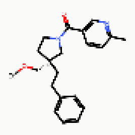 CCOC[C@]1(CCc2ccccc2)CCN(C(=O)c2ccc(C)nc2)C1